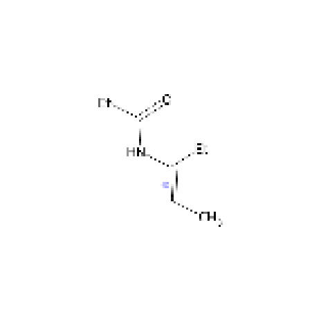 C/C=C(\CC)NC(=O)CC